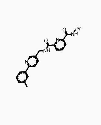 Cc1cccc(-c2ccc(CNC(=O)c3cccc(C(=O)NC(C)C)n3)cn2)c1